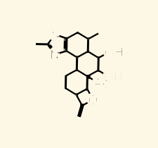 C=C1OC2C1CCC1C3c4nc(C)sc4CC(C)C3C(O)C(O)C12C(C)=O